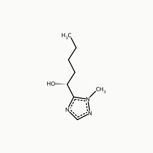 CCCC[C@@H](O)c1ncnn1C